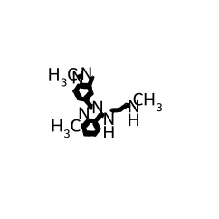 CNCCCNc1nc(-c2ccc3c(cnn3C)c2)nc2c(C)cccc12